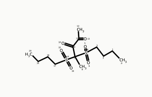 CCCCS(=O)(=O)C(C)(C(=O)C(C)=O)S(=O)(=O)CCCC